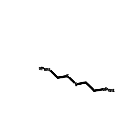 CCCCCCCSSCCCCCC